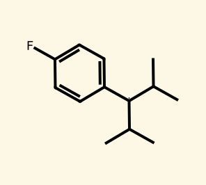 CC(C)[C](c1ccc(F)cc1)C(C)C